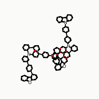 c1ccc(-c2ccccc2N(c2ccc(-c3ccc(-n4c5ccccc5c5c(-c6cccc(-c7ccccc7N(c7ccc(-c8ccc(-n9c%10ccccc%10c%10ccccc%109)cc8)cc7)c7ccc(-c8ccccc8-c8cccc9oc%10ccccc%10c89)cc7)c6)cccc54)cc3)cc2)c2cccc(-c3ccc(-c4cccc5oc6ccccc6c45)cc3)c2)cc1